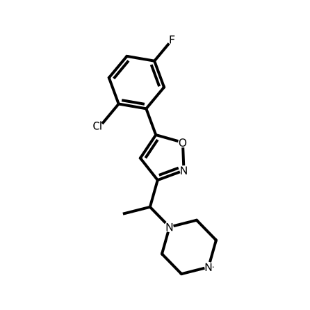 CC(c1cc(-c2cc(F)ccc2Cl)on1)N1CC[N]CC1